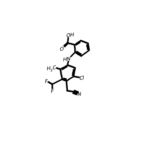 Cc1c(Nc2ccccc2C(=O)O)cc(Cl)c(CC#N)c1C(F)F